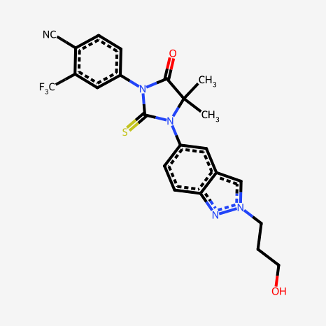 CC1(C)C(=O)N(c2ccc(C#N)c(C(F)(F)F)c2)C(=S)N1c1ccc2nn(CCCO)cc2c1